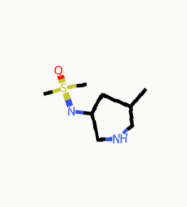 CC1CNCC(N=S(C)(C)=O)C1